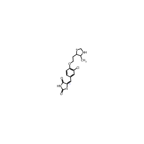 CC1NCSC1CCOc1ccc(/C=C2/SC(=O)NC2=O)cc1Cl